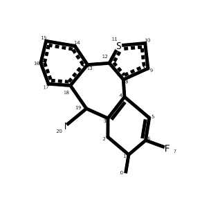 CC1CC2=C(C=C1F)c1ccsc1-c1ccccc1C2I